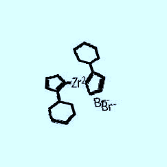 C1=CC(C2CCCCC2)=[C]([Zr+2][C]2=C(C3CCCCC3)C=CC2)C1.[Br-].[Br-]